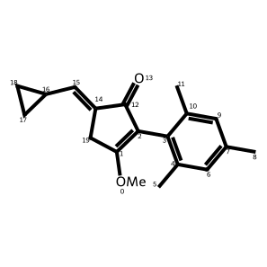 COC1=C(c2c(C)cc(C)cc2C)C(=O)C(=CC2CC2)C1